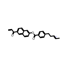 C=CC(=O)c1ccc2cc(OC(=O)c3ccc(CC/C=C/C)cc3)ccc2c1